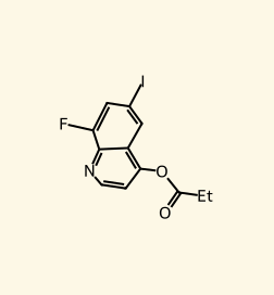 CCC(=O)Oc1ccnc2c(F)cc(I)cc12